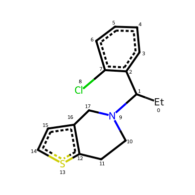 CCC(c1ccccc1Cl)N1CCc2sccc2C1